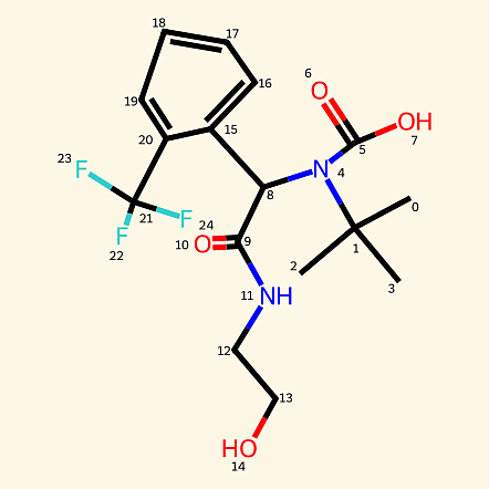 CC(C)(C)N(C(=O)O)C(C(=O)NCCO)c1ccccc1C(F)(F)F